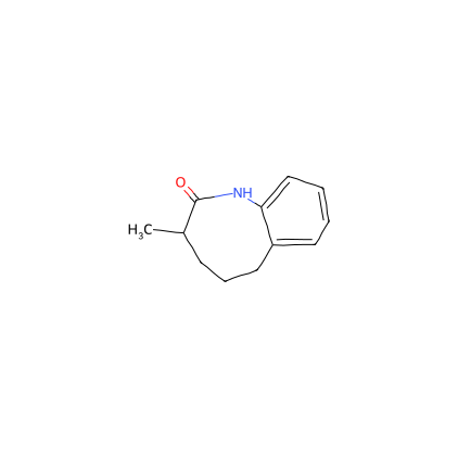 CC1CCCc2ccccc2NC1=O